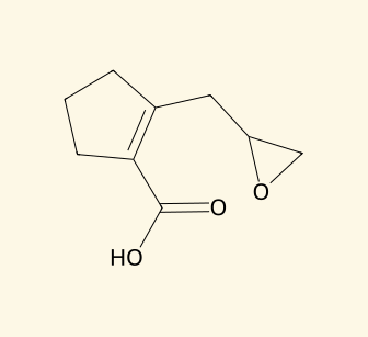 O=C(O)C1=C(CC2CO2)CCC1